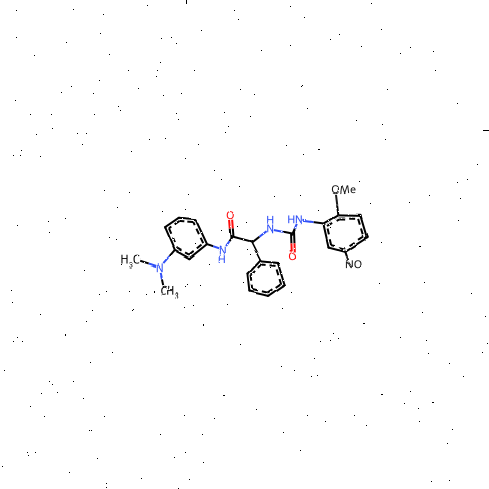 COc1ccc(N=O)cc1NC(=O)NC(C(=O)Nc1cccc(N(C)C)c1)c1ccccc1